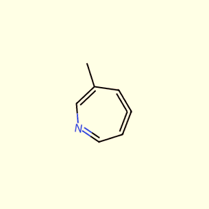 CC1=CN=CC=C=C1